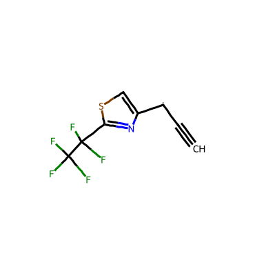 C#C[CH]c1csc(C(F)(F)C(F)(F)F)n1